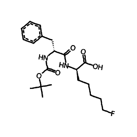 CC(C)(C)OC(=O)N[C@H](Cc1ccccc1)C(=O)N[C@H](CCCCCF)C(=O)O